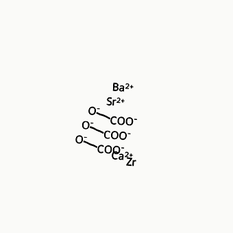 O=C([O-])[O-].O=C([O-])[O-].O=C([O-])[O-].[Ba+2].[Ca+2].[Sr+2].[Zr]